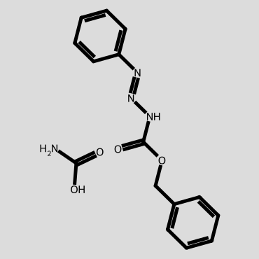 NC(=O)O.O=C(NN=Nc1ccccc1)OCc1ccccc1